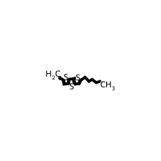 C=Cc1cc2sc3cc(CCCCCC)sc3c2s1